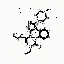 CCOC(=O)N1c2ccccc2-n2c(N3CCN(C)CC3)nnc2N1C(=O)OCC